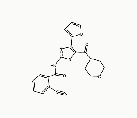 N#Cc1ccccc1C(=O)Nc1nc(-c2ccco2)c(C(=O)C2CCOCC2)s1